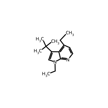 CCc1ccnc2c1c(C(C)(C)C)cn2CC